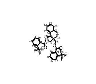 O=C(OCC1(COC(=O)c2ccccc2C(F)(F)F)CSc2ccccc2C1=O)c1ccccc1C(F)(F)F